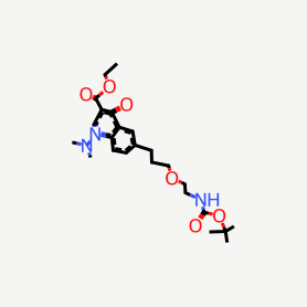 CCOC(=O)c1cn(N(C)C)c2ccc(CCCOCCNC(=O)OC(C)(C)C)cc2c1=O